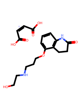 O=C(O)/C=C\C(=O)O.O=C1CCc2c(cccc2OCCCNCCO)N1